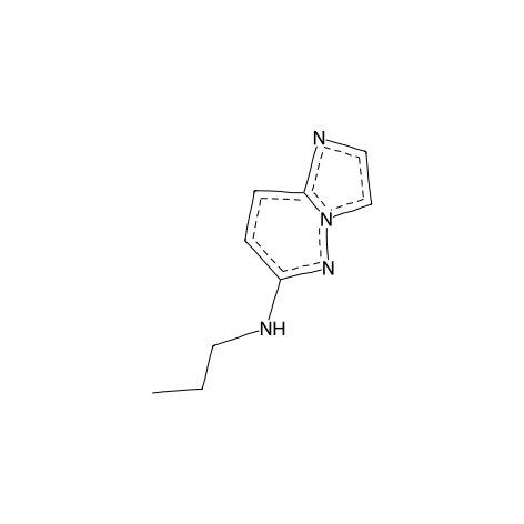 CCCNc1ccc2nccn2n1